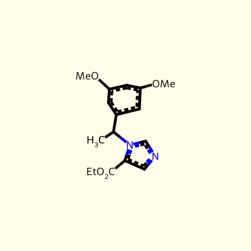 CCOC(=O)c1cncn1C(C)c1cc(OC)cc(OC)c1